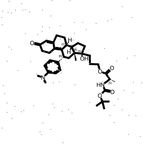 C[C@H](NC(=O)OC(C)(C)C)C(=O)OCCC[C@@]1(O)CC[C@H]2[C@@H]3CCC4=CC(=O)CCC4=C3[C@@H](c3ccc(N(C)C)cc3)C[C@]21C